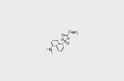 C[C@H](N)C(=O)OS(=O)(=O)c1cccc2c(N(C)C)cccc12